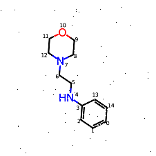 c1ccc(NCCN2CCOCC2)cc1